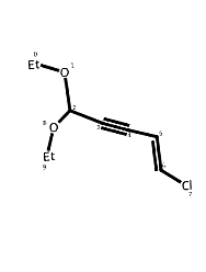 CCOC(C#CC=CCl)OCC